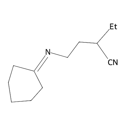 CCC(C#N)CCN=C1CCCCC1